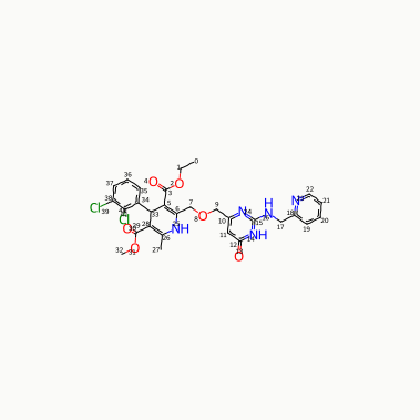 CCOC(=O)C1=C(COCc2cc(=O)[nH]c(NCc3ccccn3)n2)NC(C)=C(C(=O)OC)C1c1cccc(Cl)c1Cl